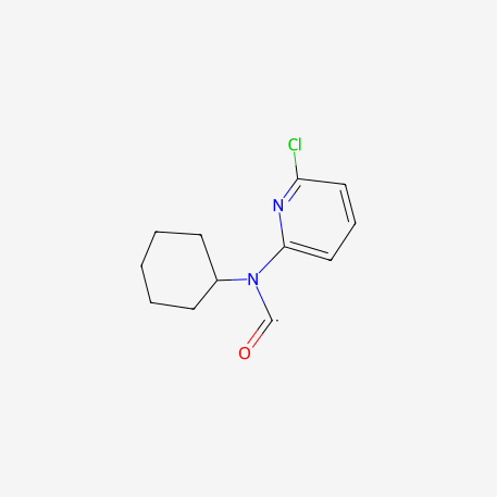 O=[C]N(c1cccc(Cl)n1)C1CCCCC1